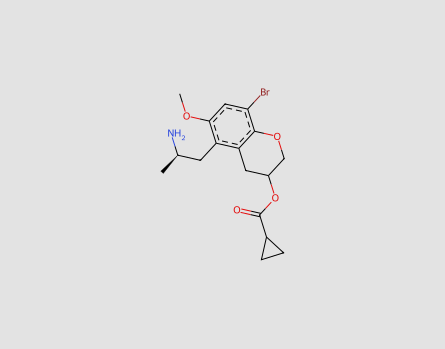 COc1cc(Br)c2c(c1C[C@@H](C)N)CC(OC(=O)C1CC1)CO2